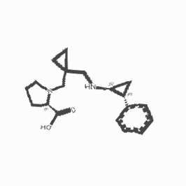 O=C(O)[C@H]1CCCN1CC1(CN[C@H]2C[C@@H]2c2ccccc2)CC1